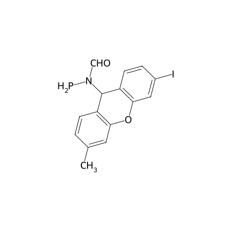 Cc1ccc2c(c1)Oc1cc(I)ccc1C2N(P)C=O